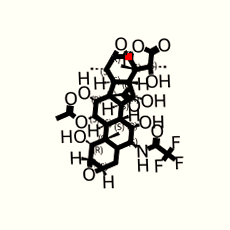 CC(=O)O[C@H]1[C@H]2[C@@H]([C@@H](O)[C@@H](NC(=O)C(F)(F)F)C3C[C@@H]4O[C@@H]4[C@H](O)[C@@]32C)[C@@H]2[C@@H](O)[C@@H]3[C@H]([C@H](C)[C@H]4O[C@]45OC(=O)[C@@](C)(O)[C@]35C)[C@@]2(C(C)=O)[C@H]1O